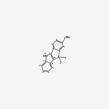 CC(C)(C)c1ccc2c(c1)C(C)(C)c1c-2[nH]c2ccccc12